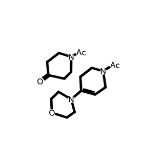 CC(=O)N1CC=C(N2CCOCC2)CC1.CC(=O)N1CCC(=O)CC1